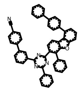 N#Cc1ccc(-c2cccc(-c3nc(-c4ccccc4)nc(-c4ccc5c(oc6cccc(-c7ccc(-c8ccccc8)cc7)c65)c4-c4ccccc4)n3)c2)cc1